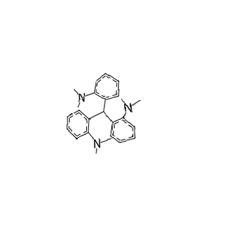 CN(C)c1ccccc1C(c1ccccc1N(C)C)c1ccccc1N(C)C